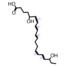 CCC(O)/C=C/C=C\CC/C=C/C=C/C=C\C(O)CCCC(=O)O